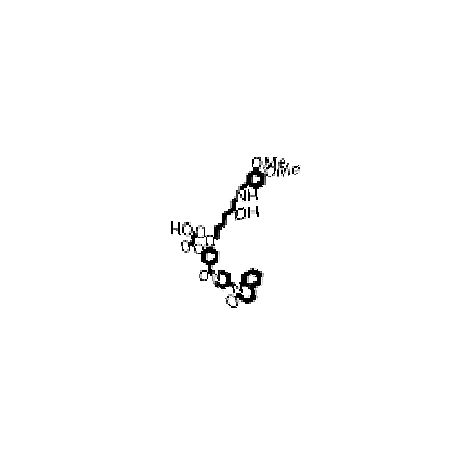 COc1ccc(CNCC(O)CCCCOc2ccc(C(=O)N3CCC(N4C(=O)CCc5ccccc54)CC3)cc2)cc1OC.O=C(O)C(=O)O